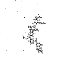 COc1cc(CC(=O)Nc2nc3cc(N(C)c4ccnc(Nc5ccc(CS(C)(=O)=O)cc5)n4)ccc3n2C)cc(OC)c1